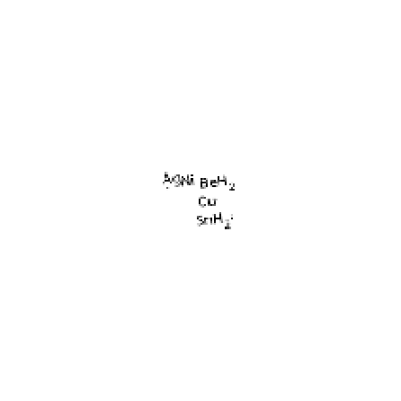 [Ag].[BeH2].[Cu].[Ni].[SnH2]